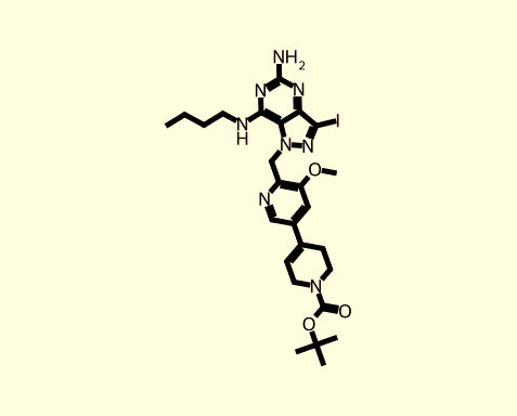 CCCCNc1nc(N)nc2c(I)nn(Cc3ncc(C4=CCN(C(=O)OC(C)(C)C)CC4)cc3OC)c12